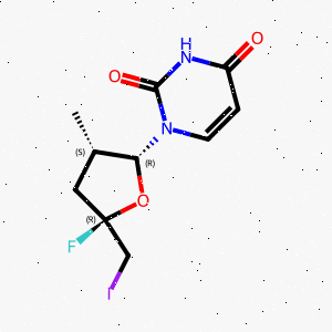 C[C@H]1C[C@@](F)(CI)O[C@H]1n1ccc(=O)[nH]c1=O